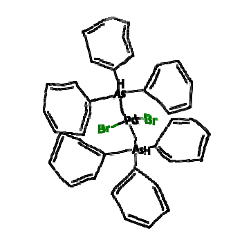 [Br][Pd]([Br])([AsH](c1ccccc1)(c1ccccc1)c1ccccc1)[AsH](c1ccccc1)(c1ccccc1)c1ccccc1